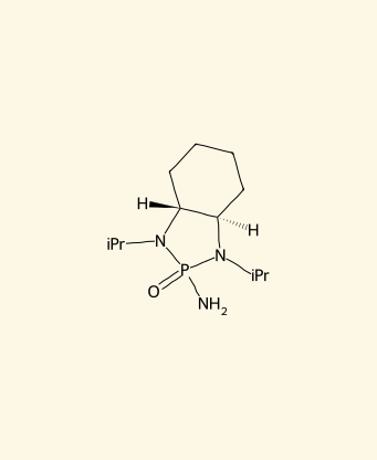 CC(C)N1[C@@H]2CCCC[C@H]2N(C(C)C)P1(N)=O